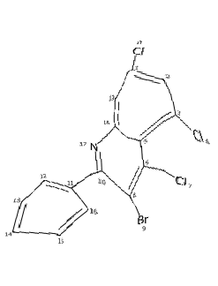 Clc1cc(Cl)c2c(Cl)c(Br)c(-c3ccccc3)nc2c1